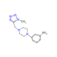 Cn1nnnc1CN1CCN(c2cccc([N+](=O)[O-])c2)CC1